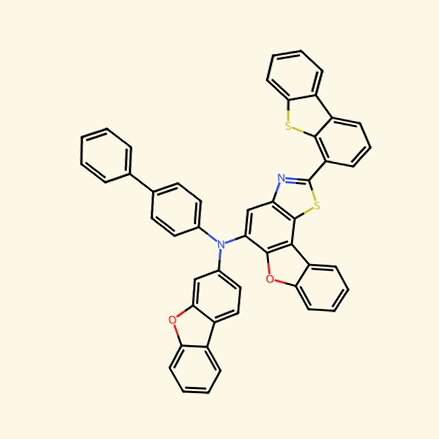 c1ccc(-c2ccc(N(c3ccc4c(c3)oc3ccccc34)c3cc4nc(-c5cccc6c5sc5ccccc56)sc4c4c3oc3ccccc34)cc2)cc1